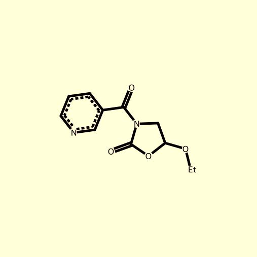 CCOC1CN(C(=O)c2cccnc2)C(=O)O1